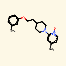 COc1cccc(OCCC2CCN(c3cc([N+](=O)[O-])cc[n+]3[O-])CC2)c1